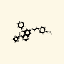 CN1CCN(CCOc2cc(OC3CCOCC3)c3c(Nc4nccs4)ncnc3c2)CC1